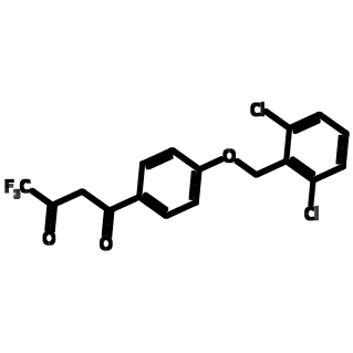 O=C(CC(=O)C(F)(F)F)c1ccc(OCc2c(Cl)cccc2Cl)cc1